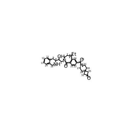 CCN1CCN(CC(O)C2Cc3ccccc3CN2)C(=O)c2ccc(C(=O)N3CCC4(CC3)CC(=O)C4)cc21